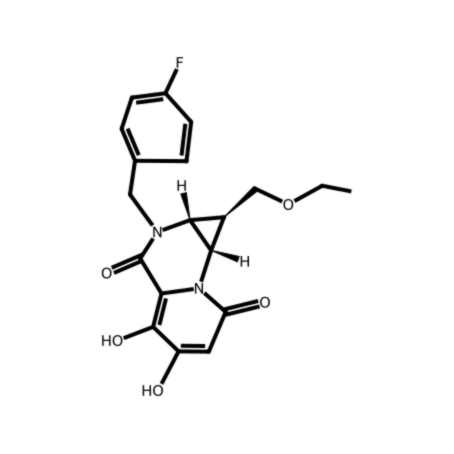 CCOC[C@@H]1[C@@H]2[C@H]1n1c(c(O)c(O)cc1=O)C(=O)N2Cc1ccc(F)cc1